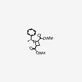 COC(=O)C1CC(C(=O)OC)N1[C@@H](C)c1ccccc1